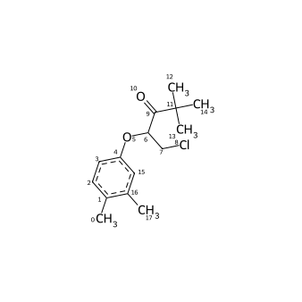 Cc1ccc(OC(CCl)C(=O)C(C)(C)C)cc1C